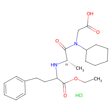 CCOC(=O)C(CCc1ccccc1)N[C@@H](C)C(=O)N(CC(=O)O)C1CCCCC1.Cl